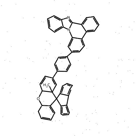 CC12C=C(c3ccc(-c4ccc5c6ccccc6c6nc7ccccc7n6c5c4)cc3)C=CC1OC1CC=CC=C1C21c2ccccc2-c2ccccc21